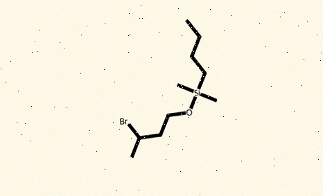 CCCC[Si](C)(C)OCCC(C)Br